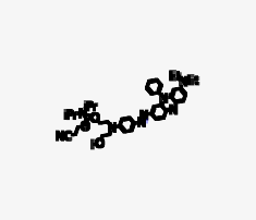 CCN(CC)c1ccc2nc3ccc(/N=N/c4ccc(N(CCOI)CCOP(OCCC#N)N(C(C)C)C(C)C)cc4)cc3[n+](-c3ccccc3)c2c1